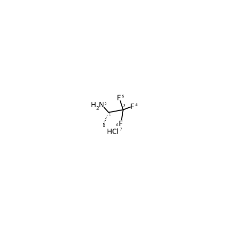 C[C@H](N)C(F)(F)F.Cl